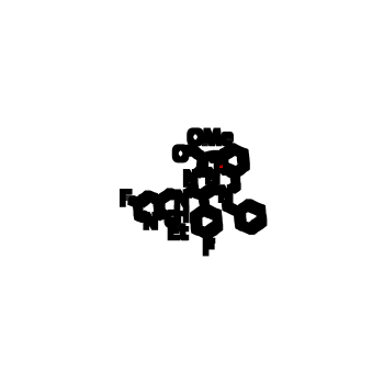 CCOc1ncc(F)cc1CNc1nc2c(C(=O)OC)cnn2c(N(Cc2ccccc2)Cc2ccccc2)c1-c1ccc(F)cc1